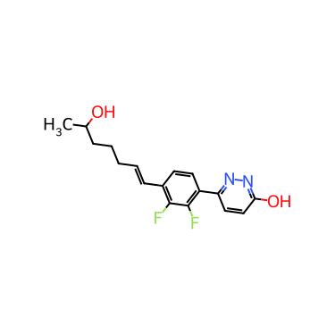 CC(O)CCCC=Cc1ccc(-c2ccc(O)nn2)c(F)c1F